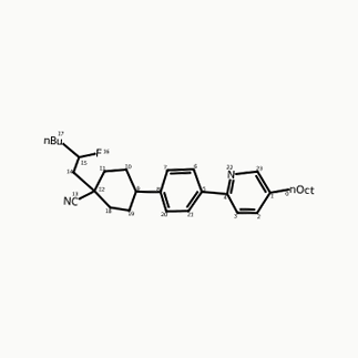 CCCCCCCCc1ccc(-c2ccc(C3CCC(C#N)(CC(F)CCCC)CC3)cc2)nc1